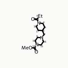 CCC(=O)N1CCC(CN2CCN(C(=O)OC)CC2)CC1